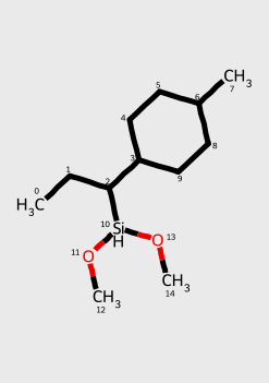 CCC(C1CCC(C)CC1)[SiH](OC)OC